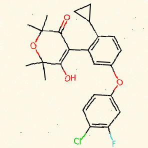 CC1(C)OC(C)(C)C(O)=C(c2cc(Oc3ccc(Cl)c(F)c3)ccc2C2CC2)C1=O